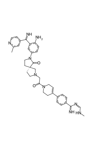 CN/C=N\C(=N)c1ccc(C2=CCN(C(=O)CN3CC[C@@]4(CCN(c5ccc(N)c(C(=N)c6ccnc(C)c6)c5)C4=O)C3)CC2)cc1